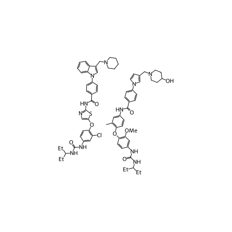 CCC(CC)NC(=O)Nc1ccc(Oc2ccc(NC(=O)c3ccc(-n4ccc(CN5CCC(O)CC5)c4)cc3)cc2C)c(OC)c1.CCC(CC)NC(=O)Nc1ccc(Oc2cnc(NC(=O)c3ccc(-n4cc(CN5CCCCC5)c5ccccc54)cc3)s2)c(Cl)c1